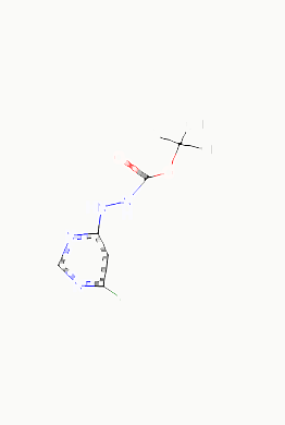 CC(C)(C)OC(=O)NNc1cc(Cl)ncn1